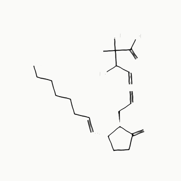 CCCCCCC=C[C@H]1CCC(=O)[C@@H]1CC=C=CC(O)C(C)(O)C(=O)O